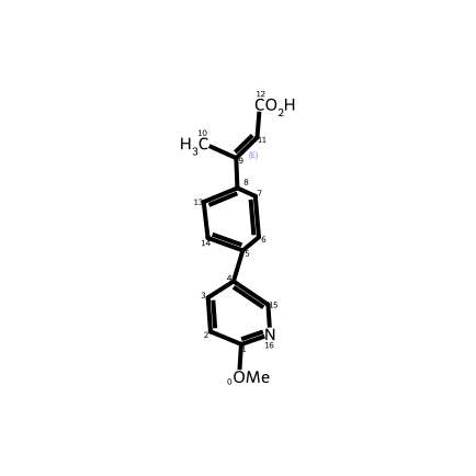 COc1ccc(-c2ccc(/C(C)=C/C(=O)O)cc2)cn1